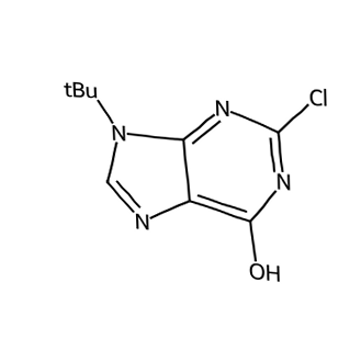 CC(C)(C)n1cnc2c(O)nc(Cl)nc21